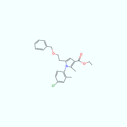 CCOC(=O)c1cc(CCOCc2ccccc2)n(-c2ccc(Cl)cc2C)c1C